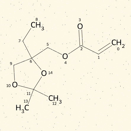 C=CC(=O)OCC1(CC)COC(C)(C)O1